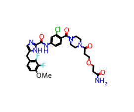 COc1ccc(Cc2cnc(C(=O)Nc3ccc(C(=O)N4CCN(C(=O)CCOCCC(N)=O)CC4)c(Cl)c3)[nH]2)c(F)c1F